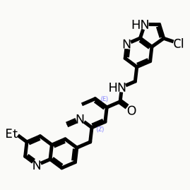 C=N/C(=C\C(=C/C)C(=O)NCc1cnc2[nH]cc(Cl)c2c1)Cc1ccc2ncc(CC)cc2c1